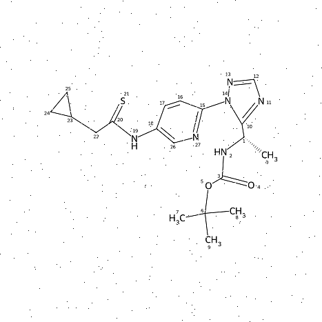 C[C@H](NC(=O)OC(C)(C)C)c1ncnn1-c1ccc(NC(=S)CC2CC2)cn1